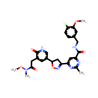 COc1cc(CNC(=O)c2cc(C3=NOC(c4c[nH]c(=O)c(CC(=O)N(C)OC)c4)C3)nc(C)n2)ccc1F